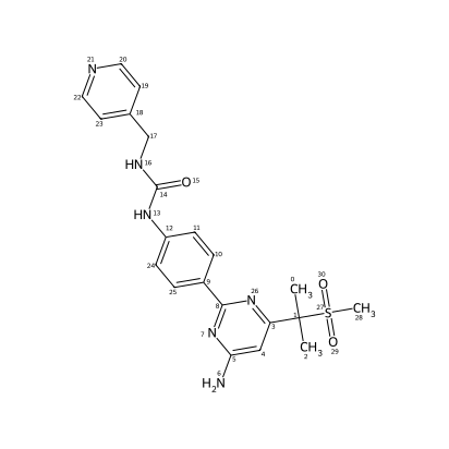 CC(C)(c1cc(N)nc(-c2ccc(NC(=O)NCc3ccncc3)cc2)n1)S(C)(=O)=O